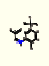 C=C(C)/C=N\c1cc(C(C)(C)C)ccc1C